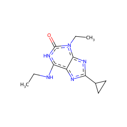 CCNc1[nH]c(=O)n(CC)c2nc(C3CC3)nc1-2